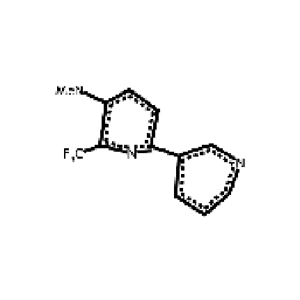 CNc1ccc(-c2cccnc2)nc1C(F)(F)F